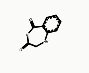 O=C1CNc2ccccc2C(=O)[N]1